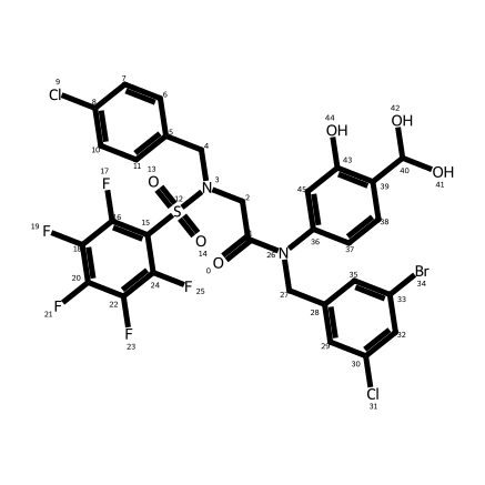 O=C(CN(Cc1ccc(Cl)cc1)S(=O)(=O)c1c(F)c(F)c(F)c(F)c1F)N(Cc1cc(Cl)cc(Br)c1)c1ccc(C(O)O)c(O)c1